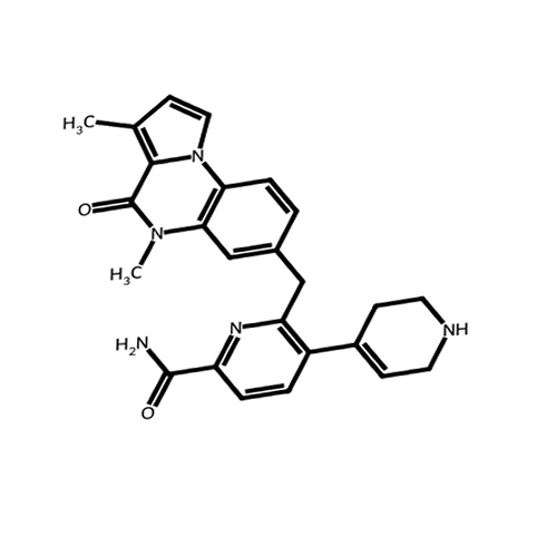 Cc1ccn2c1c(=O)n(C)c1cc(Cc3nc(C(N)=O)ccc3C3=CCNCC3)ccc12